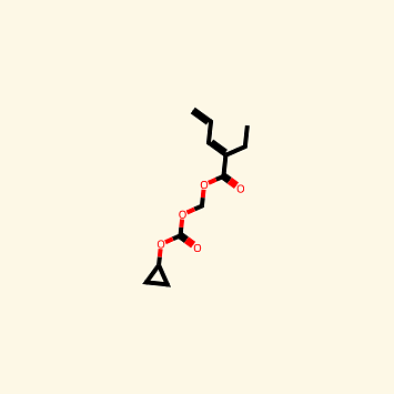 C=CC=C(CC)C(=O)OCOC(=O)OC1CC1